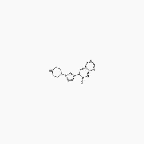 O=C1N=c2ncncc2=CC1c1cnn(C2CCNCC2)c1